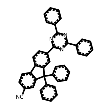 N#Cc1ccc2c(c1)C(c1ccccc1)(c1ccccc1)c1cc(-c3nc(-c4ccccc4)nc(-c4ccccc4)n3)ccc1-2